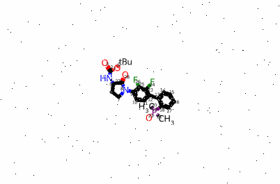 CC(C)(C)OC(=O)NC1CCN(c2ccc(-c3ccccc3P(C)(C)=O)c(F)c2F)C1=O